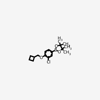 CC1(C)OB(c2ccc(OCC3CCC3)c(Cl)c2)OC1(C)C